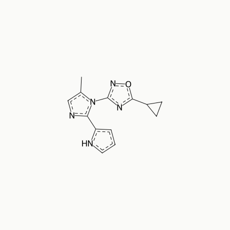 Cc1cnc(-c2ccc[nH]2)n1-c1noc(C2CC2)n1